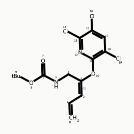 C=C/C=C(\CNC(=O)OC(C)(C)C)Oc1nc(Cl)c(Cl)cc1Cl